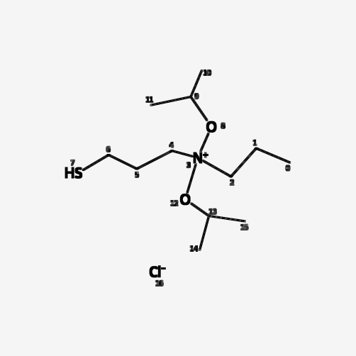 CCC[N+](CCCS)(OC(C)C)OC(C)C.[Cl-]